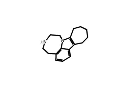 c1cc2c3c(c1)c1c(n3CCNCC2)CCCCC1